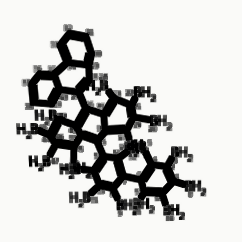 Bc1c(B)c(B)c(-c2c(B)c(B)c(B)c(-c3c4c(B)c(B)c(B)c(B)c4c(-c4cc5ccccc5c5ccccc45)c4c(B)c(B)c(B)c(B)c34)c2B)c(B)c1B